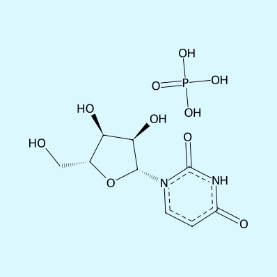 O=P(O)(O)O.O=c1ccn([C@@H]2O[C@H](CO)[C@@H](O)[C@H]2O)c(=O)[nH]1